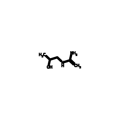 C=C(N)NCC(C)O